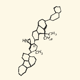 CC1C[C@H](C2CCC3C4CCC(C5CCC6CCCCC6C5)CC4C(C)(C)C3C2)C2(CN2)CC1C1CCC2C3CCCCC3C3CCCC1C32